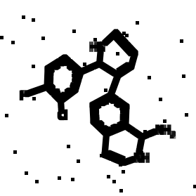 NC1NC=Cc2ccc(C3=CC=CNC3c3ccc(F)c(Cl)c3)cc21